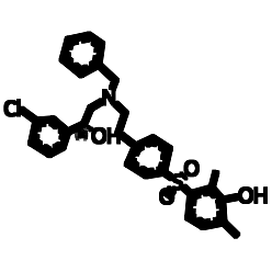 Cc1ccc(S(=O)(=O)c2ccc(CCN(Cc3ccccc3)C[C@H](O)c3cccc(Cl)c3)cc2)c(C)c1O